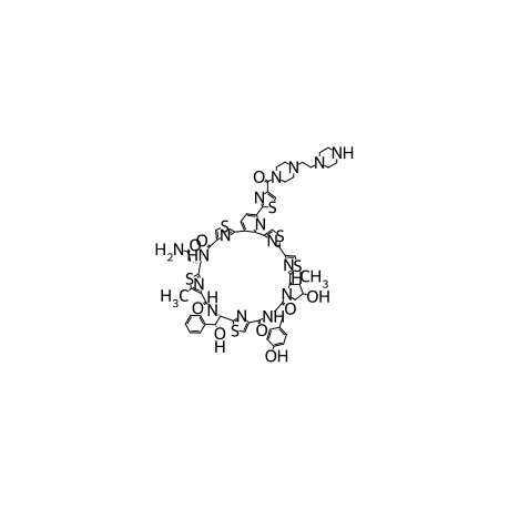 Cc1sc2nc1C(=O)N[C@@H]([C@H](O)c1ccccc1)c1nc(cs1)C(=O)N[C@@H](Cc1ccc(O)cc1)C(=O)N1C[C@H](O)[C@H](C)[C@H]1c1nc(cs1)-c1nc(cs1)-c1nc(-c3nc(C(=O)N4CCN(CCN5CCNCC5)CC4)cs3)ccc1-c1nc(cs1)C(=O)N[C@H]2CC(N)=O